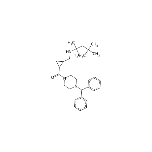 CC(C)(C)CC(C)(C)NCC1CC1C(=O)N1CCN(C(c2ccccc2)c2ccccc2)CC1